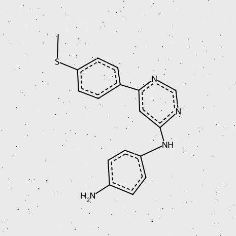 CSc1ccc(-c2cc(Nc3ccc(N)cc3)ncn2)cc1